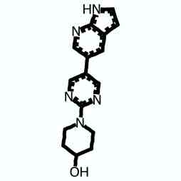 OC1CCN(c2ncc(-c3cnc4[nH]ccc4c3)cn2)CC1